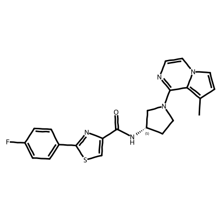 Cc1ccn2ccnc(N3CC[C@H](NC(=O)c4csc(-c5ccc(F)cc5)n4)C3)c12